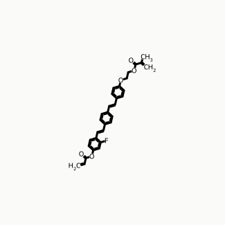 C=CC(=O)Oc1ccc(/C=C/c2ccc(/C=C/c3ccc(OCCOC(=O)C(=C)C)cc3)cc2)c(F)c1